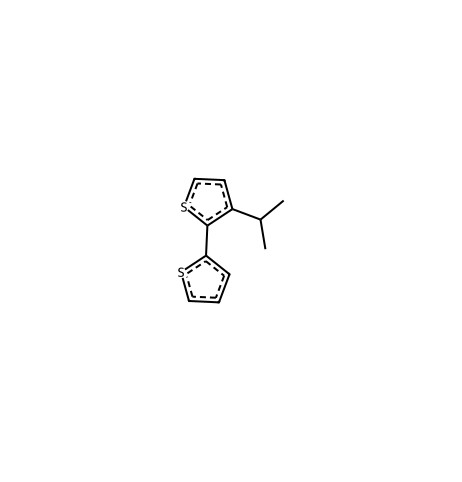 CC(C)c1ccsc1-c1cccs1